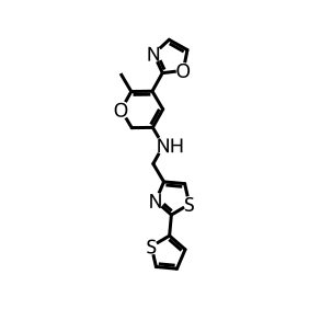 CC1=C(c2ncco2)C=C(NCc2csc(-c3cccs3)n2)CO1